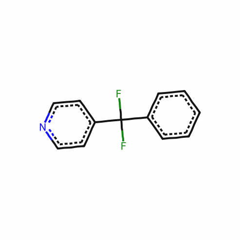 FC(F)(c1ccccc1)c1ccncc1